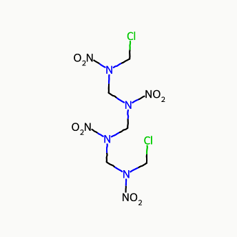 O=[N+]([O-])N(CCl)CN(CN(CN(CCl)[N+](=O)[O-])[N+](=O)[O-])[N+](=O)[O-]